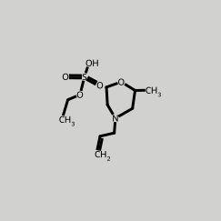 C=CCN1CCOC(C)C1.CCOS(=O)(=O)O